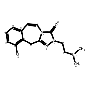 CN(C)CCn1nc2n(c1=O)C=Cc1cccc(Cl)c1C2